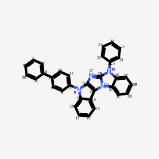 c1ccc(-c2ccc(-n3c4ccccc4c4c3nc3n(-c5ccccc5)c5ccccc5n43)cc2)cc1